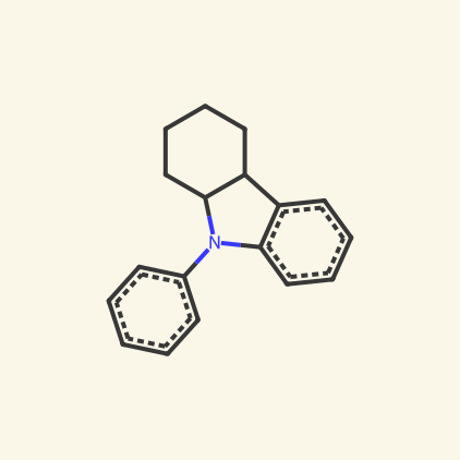 c1ccc(N2c3ccccc3C3CCCCC32)cc1